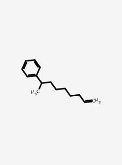 C=CCCCCCC(C)c1ccccc1